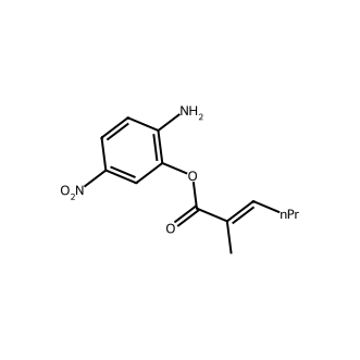 CCCC=C(C)C(=O)Oc1cc([N+](=O)[O-])ccc1N